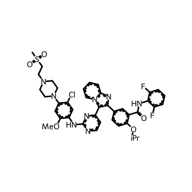 COc1cc(N2CCN(CCS(C)(=O)=O)CC2)c(Cl)cc1Nc1nccc(-c2c(-c3ccc(OC(C)C)c(C(=O)Nc4c(F)cccc4F)c3)nc3ccccn23)n1